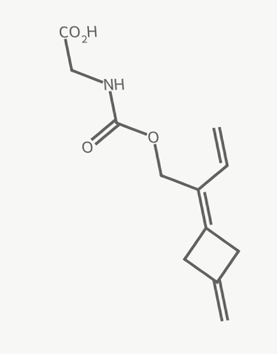 C=CC(COC(=O)NCC(=O)O)=C1CC(=C)C1